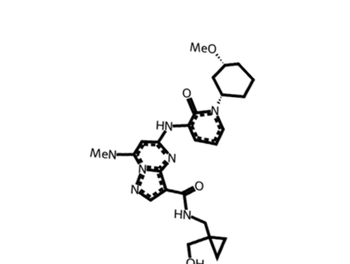 CNc1cc(Nc2cccn([C@H]3CCC[C@@H](OC)C3)c2=O)nc2c(C(=O)NCC3(CO)CC3)cnn12